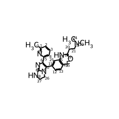 Cc1cccc(-c2nc3n(c2-c2ccc(F)c(NC(=O)CCN(C)C)c2)CCN3)n1